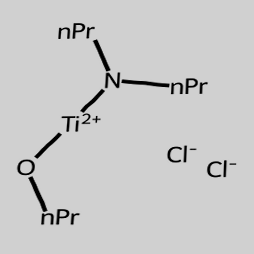 CCC[O][Ti+2][N](CCC)CCC.[Cl-].[Cl-]